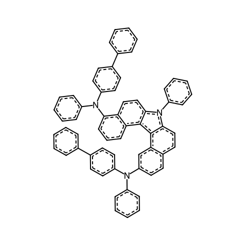 c1ccc(-c2ccc(N(c3ccccc3)c3ccc4ccc5c(c4c3)c3c4cccc(N(c6ccccc6)c6ccc(-c7ccccc7)cc6)c4ccc3n5-c3ccccc3)cc2)cc1